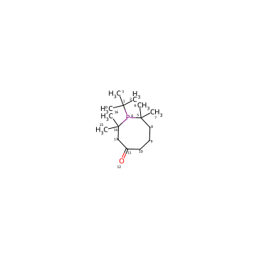 CC(C)(C)P1C(C)(C)CCCC(=O)CC1(C)C